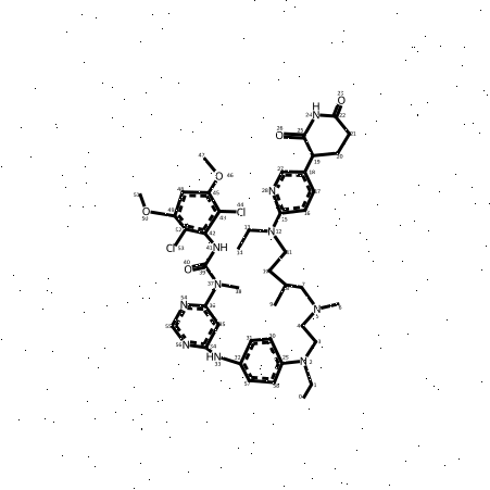 CCN(CCN(C)CC(C)CCN(CC)c1ccc(C2CCC(=O)NC2=O)cn1)c1ccc(Nc2cc(N(C)C(=O)Nc3c(Cl)c(OC)cc(OC)c3Cl)ncn2)cc1